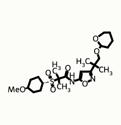 CO[C@H]1CC[C@H](S(=O)(=O)C(C)(C)C(=O)Nc2cc(C(C)(C)COC3CCCCO3)no2)CC1